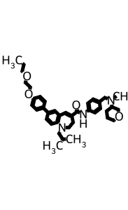 CCCOCCOc1ccc(-c2ccc3c(c2)C=C(C(=O)Nc2ccc(CN(C)C4CCCOC4)cc2)CCN3CC(C)C)cc1